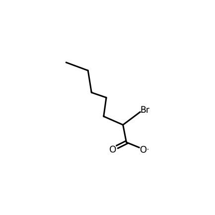 CCCCCC(Br)C([O])=O